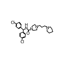 O=C(NC(c1ccc(Cl)cc1)c1ccc(Cl)cc1)N1CCN(CCCN2CCCCC2)CC1